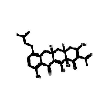 CC(=O)C1=C(O)C[C@H]2C[C@H]3Cc4c(CCC(C)C)ccc(O)c4C(=O)C3=C(O)[C@@]2(O)C1=O